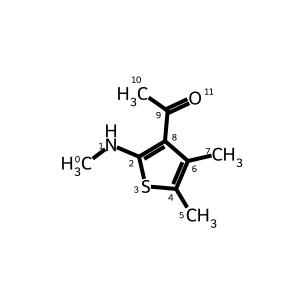 CNc1sc(C)c(C)c1C(C)=O